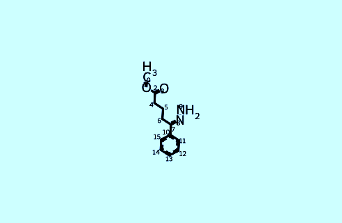 COC(=O)CCC/C(=N\N)c1ccccc1